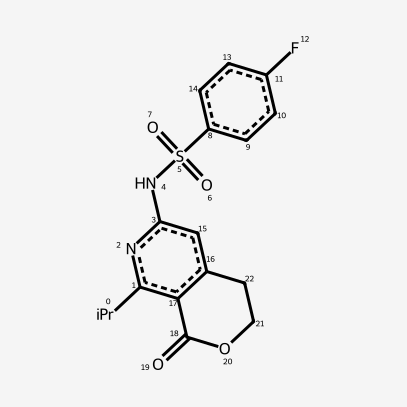 CC(C)c1nc(NS(=O)(=O)c2ccc(F)cc2)cc2c1C(=O)OCC2